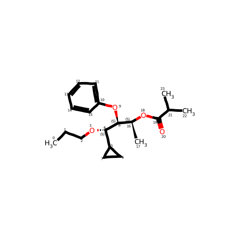 CCCO[C@@H](C1CC1)[C@@H](Oc1ccccc1)[C@H](C)OC(=O)C(C)C